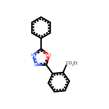 CCOC(=O)c1ccccc1-c1nnc(-c2ccccc2)o1